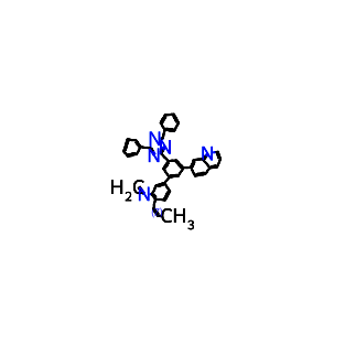 C=Nc1cc(-c2cc(-c3ccc4cccnc4c3)cc(-c3nc(-c4ccccc4)nc(-c4ccccc4)n3)c2)ccc1/C=C\C